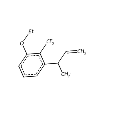 [CH2]C(C=C)c1cccc(OCC)c1C(F)(F)F